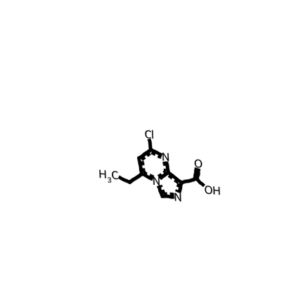 CCc1cc(Cl)nc2c(C(=O)O)ncn12